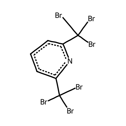 BrC(Br)(Br)c1cccc(C(Br)(Br)Br)n1